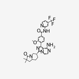 COc1cc(C(=O)Nc2cc(C(F)(F)F)ccn2)ccc1-c1nc([C@H]2CCC3CC(C)(C)C(=O)N3C2)n2ccnc(N)c12